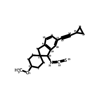 COC1CCC2(CC1)Cc1ccc(C#CC3CC3)cc1C2N=C=S